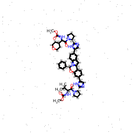 COC(=O)NC(C(=O)N1CCC[C@H]1c1ncc(-c2ccc3c(c2)cc2n3[C@H](c3ccccc3)Oc3cc(-c4cnc([C@@H]5CCCN5C(=O)[C@@H](NC(=O)OC)C(C)C)[nH]4)ccc3-2)[nH]1)C1CCOCC1